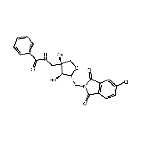 O=C(NC[C@]1(O)CO[C@H](CN2C(=O)c3ccc(Cl)cc3C2=O)[C@H]1O)c1ccccc1